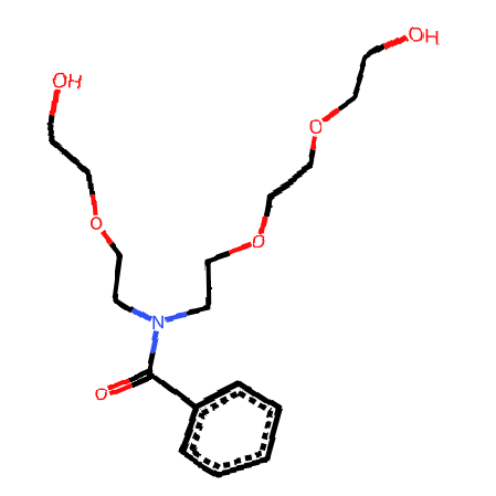 O=C(c1ccccc1)N(CCOCCO)CCOCCOCCO